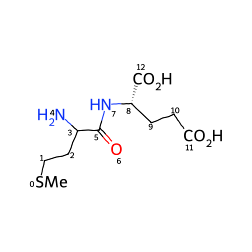 CSCCC(N)C(=O)N[C@@H](CCC(=O)O)C(=O)O